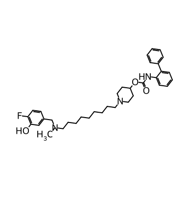 CN(CCCCCCCCCN1CCC(OC(=O)Nc2ccccc2-c2ccccc2)CC1)Cc1ccc(F)c(O)c1